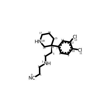 N#CCCNCC[C@]1(c2ccc(Cl)c(Cl)c2)CCCNC1